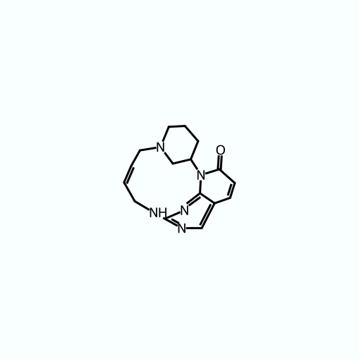 O=c1ccc2cnc3nc2n1C1CCCN(CC=CCN3)C1